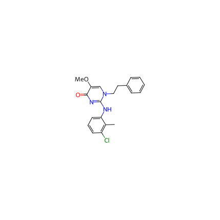 COc1cn(CCc2ccccc2)c(Nc2cccc(Cl)c2C)nc1=O